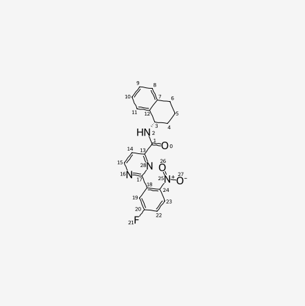 O=C(N[C@H]1CCCc2ccccc21)c1ccnc(-c2cc(F)ccc2[N+](=O)[O-])n1